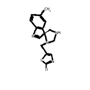 Cc1ccc2c(c1)[C@]1(C=N2)CNCN1Cc1cnc(Cl)s1